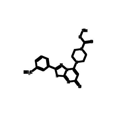 CC(C)(C)OC(=O)N1CCN(c2cc(=O)nc3sc(-c4cccc(C(=O)O)c4)nn23)CC1